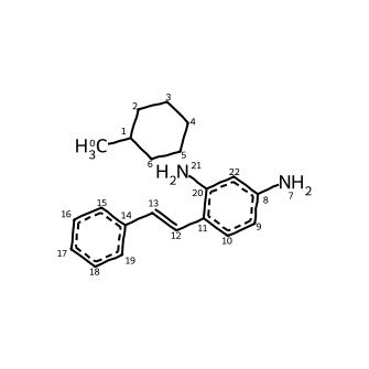 CC1CCCCC1.Nc1ccc(C=Cc2ccccc2)c(N)c1